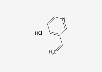 C=Cc1cccnc1.Cl